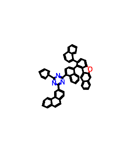 c1ccc(-c2nc(-c3ccc4ccc5ccccc5c4c3)nc(-c3ccc(-c4c(-c5cccc6ccccc56)ccc5oc6cc7ccccc7cc6c45)c4ccccc34)n2)cc1